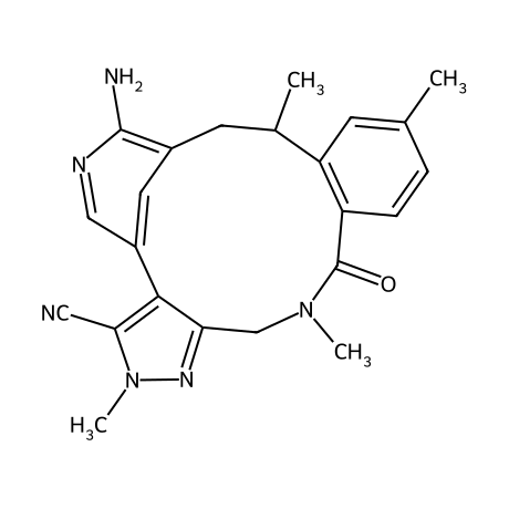 Cc1ccc2c(c1)C(C)Cc1cc(cnc1N)-c1c(nn(C)c1C#N)CN(C)C2=O